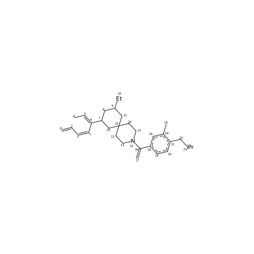 C=C/C=C\C(=C/C)C1CC(CC)CC2(CCN(C(=C)c3ccc(CC(C)C)c(C)c3)CC2)C1